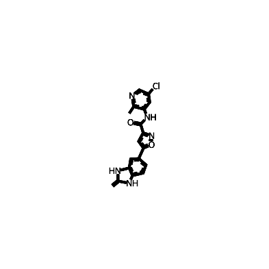 C=C1Nc2ccc(-c3cc(C(=O)Nc4cc(Cl)cnc4C)no3)cc2N1